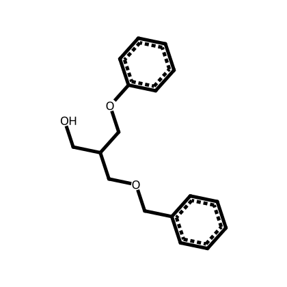 OCC(COCc1ccccc1)COc1ccccc1